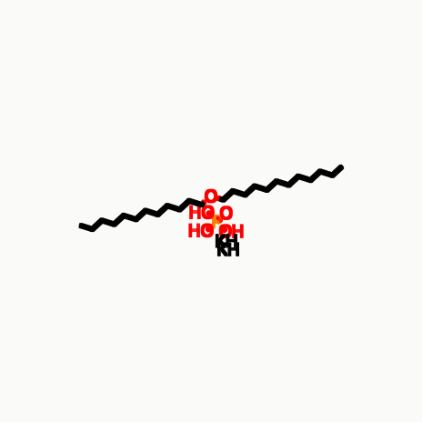 CCCCCCCCCCCCOCCCCCCCCCCCC.O=P(O)(O)O.[KH].[KH]